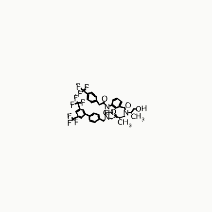 C[C@@H]1CN([C@@H](C)CO)C(=O)c2cccc(NC(=O)Cc3ccc(C(F)(F)F)cc3)c2O[C@@H]1CN(C)Cc1ccc(-c2cc(C(F)(F)F)cc(C(F)(F)F)c2)cc1